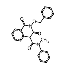 CN(C(=O)C1C(=O)N(OCc2ccccc2)C(=O)c2ccccc21)c1ccccc1